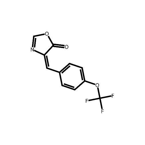 O=C1OC=NC1=Cc1ccc(OC(F)(F)F)cc1